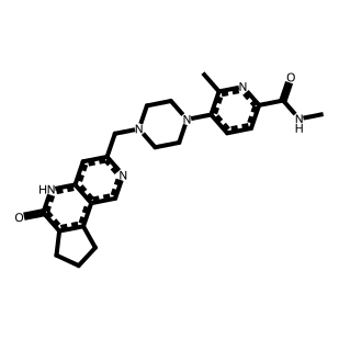 CNC(=O)c1ccc(N2CCN(Cc3cc4[nH]c(=O)c5c(c4cn3)CCC5)CC2)c(C)n1